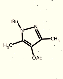 CC(=O)Oc1c(C)nn(C(C)(C)C)c1C